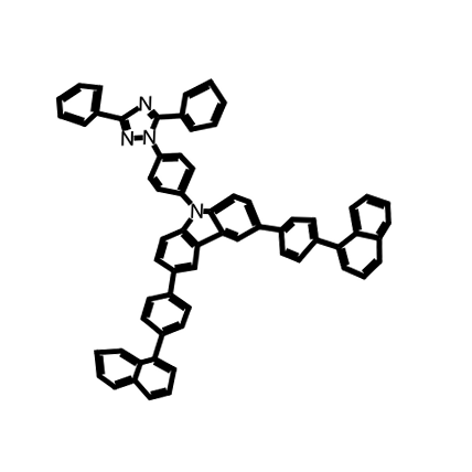 c1ccc(-c2nc(-c3ccccc3)n(-c3ccc(-n4c5ccc(-c6ccc(-c7cccc8ccccc78)cc6)cc5c5cc(-c6ccc(-c7cccc8ccccc78)cc6)ccc54)cc3)n2)cc1